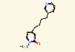 O=C(O)n1ccc(CCCCc2cccnc2)cc1=O